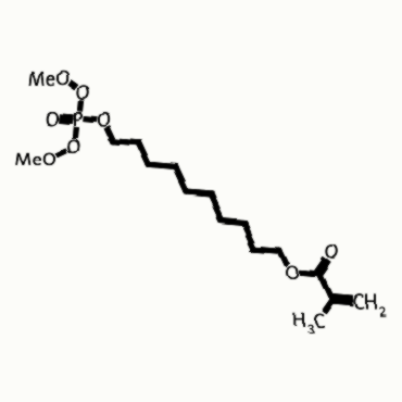 C=C(C)C(=O)OCCCCCCCCCCOP(=O)(OOC)OOC